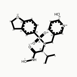 CC(C)[C@H](C(=O)NO)N(Cc1cccnc1)S(=O)(=O)c1ccc2c(c1)CCO2.Cl